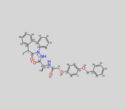 CC1C(=O)N(NC(=O)[C@H](C)NC(=O)COc2ccc(OCc3ccccc3)cc2)c2ccccc2-c2ccccc21